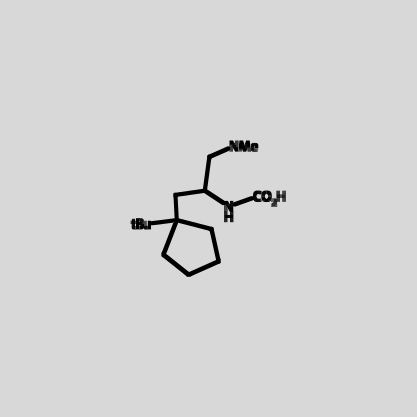 CNCC(CC1(C(C)(C)C)CCCC1)NC(=O)O